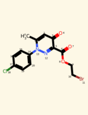 Cc1cc(=O)c(C(=O)OCCBr)nn1-c1ccc(Cl)cc1